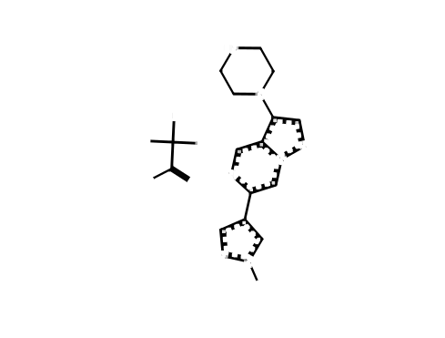 Cn1cc(-c2cn3ncc(N4CCNCC4)c3cn2)cn1.O=C(O)C(F)(F)F